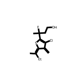 C=c1c(Cl)c(C(C)(F)CCO)s/c1=C(\C)CC